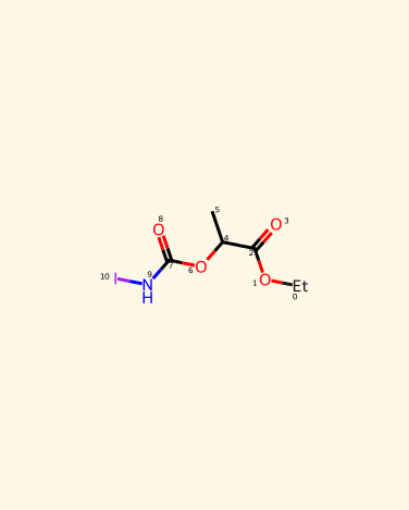 CCOC(=O)C(C)OC(=O)NI